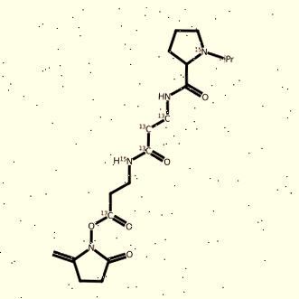 C=C1CCC(=O)N1O[13C](=O)CC[15NH][13C](=O)[13CH2][13CH2]NC(=O)C1CCC[15N]1[13CH]([13CH3])[13CH3]